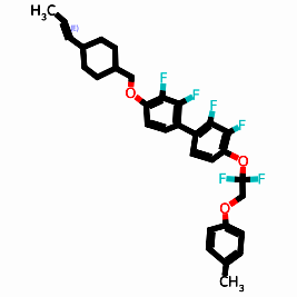 C/C=C/C1CCC(COc2ccc(-c3ccc(OC(F)(F)COc4ccc(C)cc4)c(F)c3F)c(F)c2F)CC1